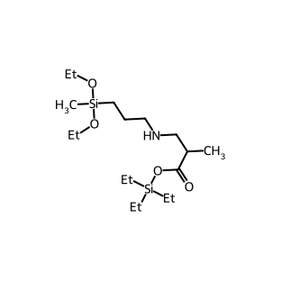 CCO[Si](C)(CCCNCC(C)C(=O)O[Si](CC)(CC)CC)OCC